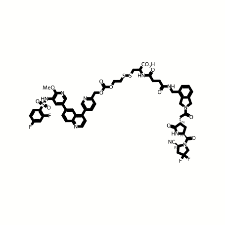 COc1ncc(-c2ccc3nccc(-c4ccc(COC(=O)OCCSSCC(NC(=O)CCC(=O)NCc5cccc6c5CN(C(=O)C[C@@H]5C[C@@H](C(=O)N7CC(F)(F)C[C@H]7C#N)NC5=O)C6)C(=O)O)nc4)c3c2)cc1NS(=O)(=O)c1ccc(F)cc1F